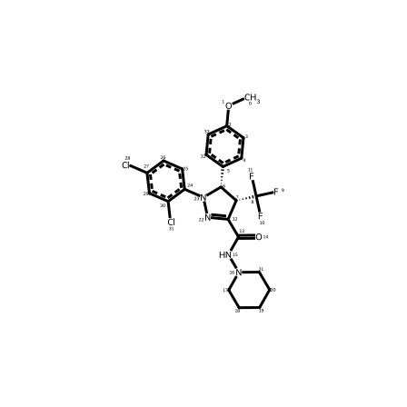 COc1ccc([C@@H]2[C@H](C(F)(F)F)C(C(=O)NN3CCCCC3)=NN2c2ccc(Cl)cc2Cl)cc1